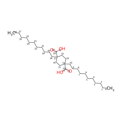 CCCCCCCCCCCC1(C(=O)O)CCC(CCCCCCCCCCC)(C(=O)O)CC1